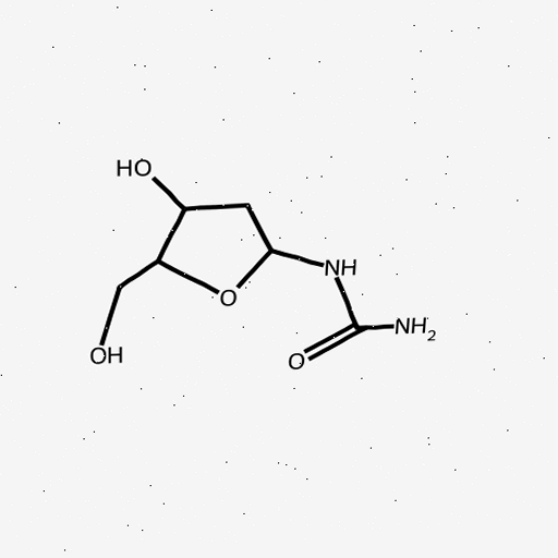 NC(=O)NC1CC(O)C(CO)O1